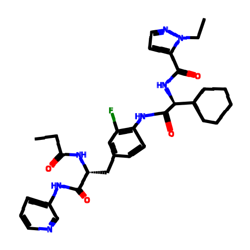 CCC(=O)N[C@H](Cc1ccc(NC(=O)[C@@H](NC(=O)c2ccnn2CC)C2CCCCC2)c(F)c1)C(=O)Nc1cccnc1